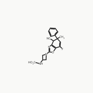 CC1(c2ccccc2)C=C(F)c2oc(N3CC(NC(=O)O)C3)nc2C1C#N